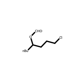 CCCCC(CCCCl)O[C]=O